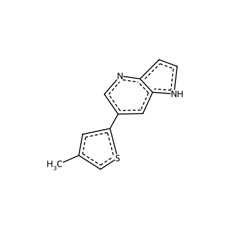 Cc1csc(-c2cnc3cc[nH]c3c2)c1